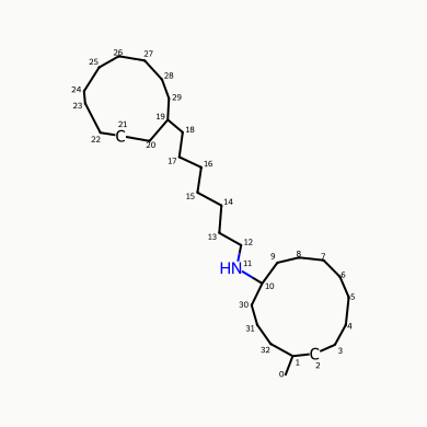 CC1CCCCCCCCC(NCCCCCCCC2CCCCCCCCCC2)CCC1